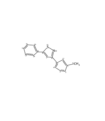 Cc1cccc(-c2cc(-c3ccccc3)sn2)c1